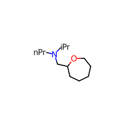 CCCN(CC1CCCCCO1)C(C)C